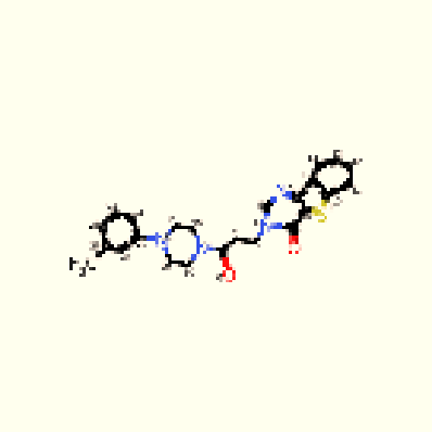 O=C(CCn1cnc2c(sc3ccccc32)c1=O)N1CCN(c2cccc(C(F)(F)F)c2)CC1